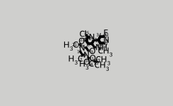 CNC(=O)c1c([C@@H]2CN(C(=O)OC(C)(C)C)[C@@H](C)CN2C(C)=O)cc(Cl)nc1-c1ccnc(F)c1